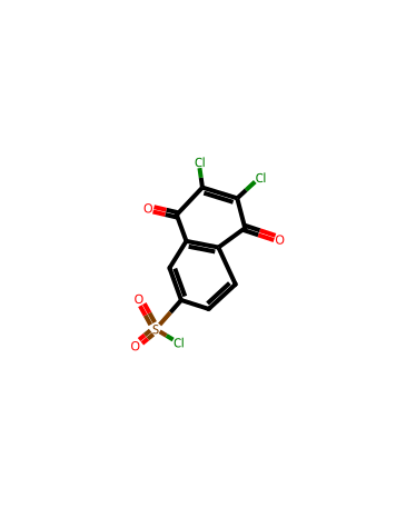 O=C1C(Cl)=C(Cl)C(=O)c2cc(S(=O)(=O)Cl)ccc21